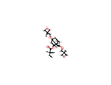 CCC(C)(C)C(=O)OC12CC3CC(OCC4(C)COC4)(CC(OCC4(C)COC4)(C3)C1)C2